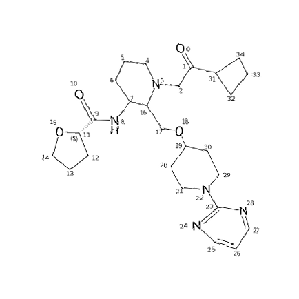 O=C(CN1CCCC(NC(=O)[C@@H]2CCCO2)C1COC1CCN(c2ncccn2)CC1)C1CCC1